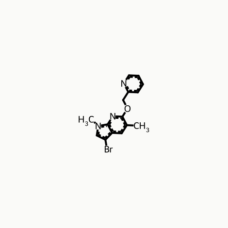 Cc1cc2c(Br)cn(C)c2nc1OCc1ccccn1